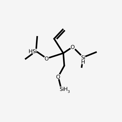 C=CC(CO[SiH3])(O[SiH](C)C)O[SiH](C)C